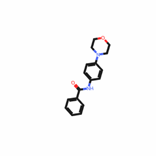 O=C(Nc1ccc(N2CCOCC2)cc1)c1ccccc1